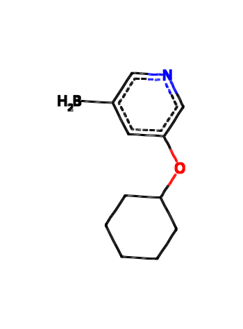 Bc1cncc(OC2CCCCC2)c1